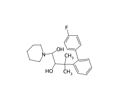 CC(C)(c1ccccc1-c1ccc(F)cc1)C(O)C(O)N1CCCCC1